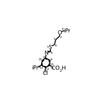 CC(C)OCCCSC=Nc1cc(C(=O)O)c(Cl)c(C(C)C)c1